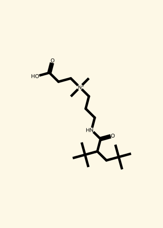 CC(C)(C)CC(C(=O)NCCC[N+](C)(C)CCC(=O)O)C(C)(C)C